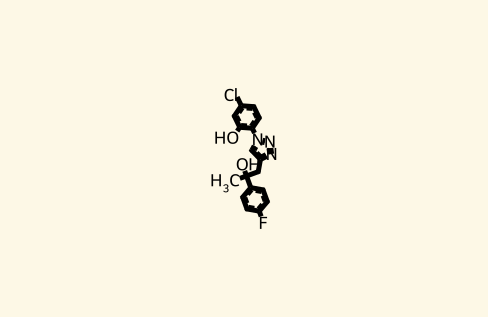 CC(O)(Cc1cn(-c2ccc(Cl)cc2O)nn1)c1ccc(F)cc1